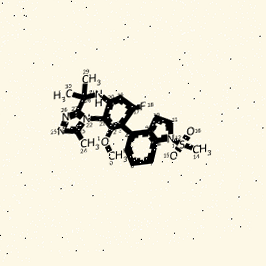 COc1c(-c2cccc3c2ccn3S(C)(=O)=O)c(F)cc2c1-n1c(C)nnc1C(C)(C)N2